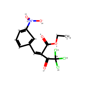 CCOC(=O)/C(=C\c1cccc([N+](=O)[O-])c1)C(=O)C(Cl)(Cl)Cl